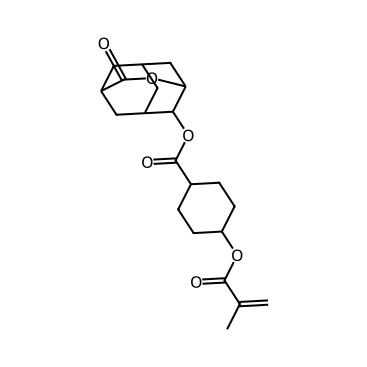 C=C(C)C(=O)OC1CCC(C(=O)OC2C3CC4CC(C3)C(=O)OC2C4)CC1